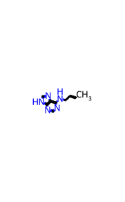 CC=CCNc1ncnc2[nH]cnc12